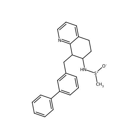 C[S+]([O-])NC1CCc2cccnc2C1Cc1cccc(-c2ccccc2)c1